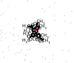 COC(=O)c1c(C)cc(CC(c2cc(C)c(C(=O)OC)c(C)c2)(c2cc(C)c(C(=O)OC)c(C)c2)c2cc(C)c(C(=O)OC)c(C)c2)cc1C